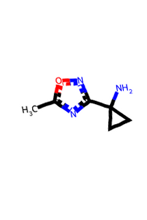 Cc1nc(C2(N)CC2)no1